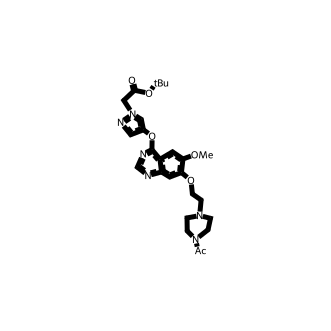 COc1cc2c(Oc3cnn(CC(=O)OC(C)(C)C)c3)ncnc2cc1OCCN1CCN(C(C)=O)CC1